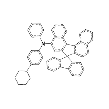 c1ccc(N(c2ccc(C3CCCCC3)cc2)c2cc3c(c4ccccc24)-c2c(ccc4ccccc24)C32c3ccccc3-c3ccccc32)cc1